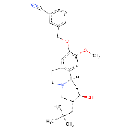 COc1cc2c(cc1OCc1cccc(C#N)c1)CCN1C[C@@H](CC(C)(C)C)[C@H](O)C[C@H]21